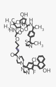 Cc1ncsc1-c1ccc([C@H](C)NC(=O)[C@@H]2C[C@@H](O)CN2C(=O)[C@@H](NC(=O)COCC/C=C/C(=O)N2CCN(c3ncnc4c(F)c(-c5cc(O)cc6ccccc56)c(Cl)cc34)CC2)C(C)(C)C)cc1